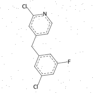 Fc1cc(Cl)cc(Cc2ccnc(Cl)c2)c1